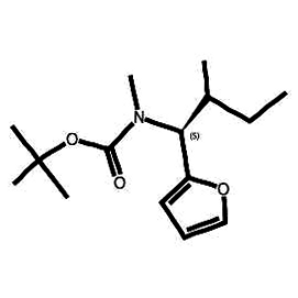 CCC(C)[C@@H](c1ccco1)N(C)C(=O)OC(C)(C)C